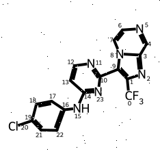 FC(F)(F)c1nc2cnccn2c1-c1nccc(Nc2ccc(Cl)cc2)n1